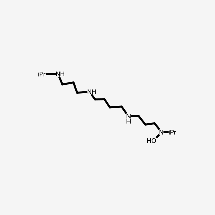 CC(C)NCCCNCCCCNCCCN(O)C(C)C